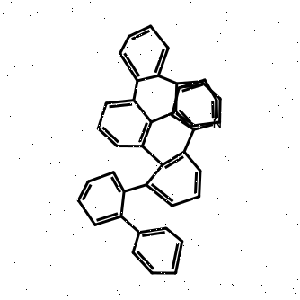 c1ccc(-c2ccccc2-c2cccc(-c3ccccn3)c2-c2cccc3c4ccccc4c4ccccc4c23)cc1